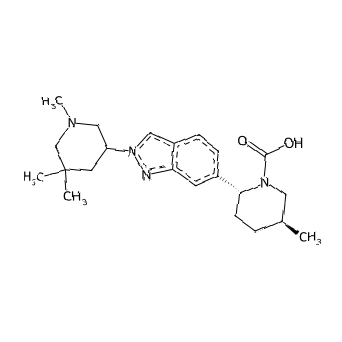 C[C@H]1CC[C@H](c2ccc3cn(C4CN(C)CC(C)(C)C4)nc3c2)N(C(=O)O)C1